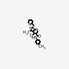 Cc1ccc(NC(=O)c2cnc3c(c(C)nn3Cc3ccccn3)c2Cl)cc1